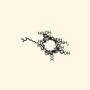 CCC(C)CC(C)CCCCCCCCC(=O)N[C@H]1C[C@@H](O)[C@@H](Sc2ccc(O)c(O)c2)NC(=O)[C@@H]2[C@@H](O)CCN2C(=O)[C@H]([C@H](O)CCN)NC(=O)[C@H]([C@H](O)[C@@H](O)c2ccc(O)cc2)NC(=O)[C@@H]2C[C@@H](O)CN2C(=O)[C@H]([C@@H](C)O)NC1=O